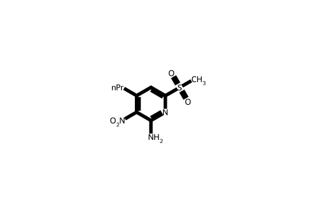 CCCc1cc(S(C)(=O)=O)nc(N)c1[N+](=O)[O-]